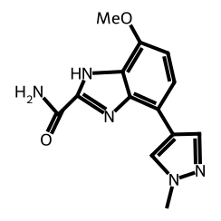 COc1ccc(-c2cnn(C)c2)c2nc(C(N)=O)[nH]c12